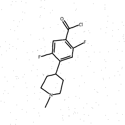 CN1CCC(c2cc(F)c(C(=O)Cl)cc2F)CC1